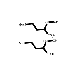 CSCCC(NO)C(=O)O.CSCCC(NO)C(=O)O.[Mn]